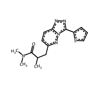 CC(Cc1ccc2nnc(-c3cccs3)n2n1)C(=O)N(C)C